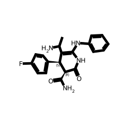 CC(N)C1=C(Nc2ccccc2)NC(=O)[C@@H](C(N)=O)[C@H]1c1ccc(F)cc1